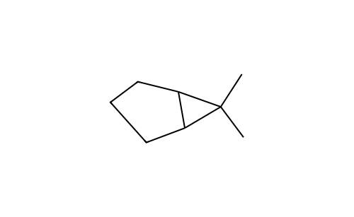 CC1(C)C2CCCC21